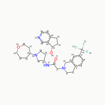 O=C(CN1CCc2ccc(C(F)(F)F)cc2C1)NC1CN(C2CCCOCC2)C[C@@H]1OC1CCc2ccncc21